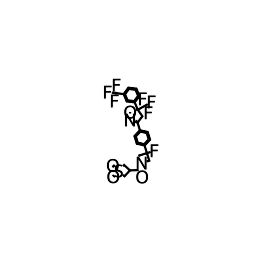 O=C(C1CS(=O)(=O)C1)N1CC(F)(c2ccc(C3=NOC(c4cccc(C(F)(F)F)c4)(C(F)(F)F)C3)cc2)C1